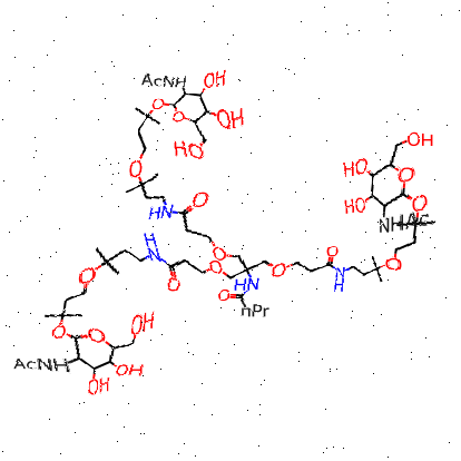 CCCC(=O)NC(COCCC(=O)NCCC(C)(C)OCCC(C)(C)OC1OC(CO)C(O)C(O)C1NC(C)=O)(COCCC(=O)NCCC(C)(C)OCCC(C)(C)OC1OC(CO)C(O)C(O)C1NC(C)=O)COCCC(=O)NCCC(C)(C)OCCC(C)(C)OC1OC(CO)C(O)C(O)C1NC(C)=O